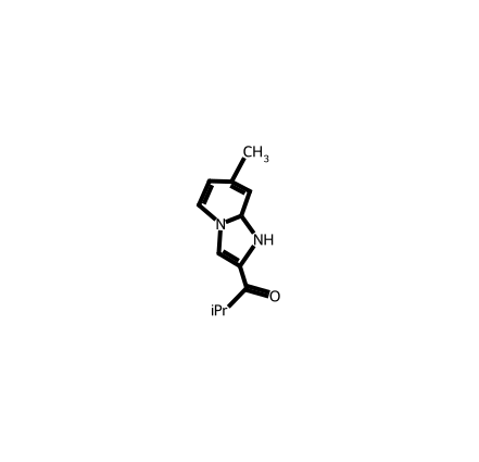 CC1=CC2NC(C(=O)C(C)C)=CN2C=C1